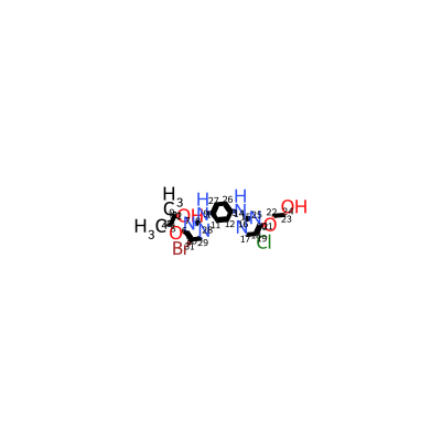 C[C@@H](O)[C@@H](C)Oc1nc(Nc2ccc(Nc3ncc(Cl)c(OCCO)n3)cc2)ncc1Br